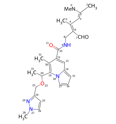 CN/C(C)=C\C(C)=C(/C=O)CNC(=O)c1cc2cccn2c(C(C)OCc2ccn(C)n2)c1C